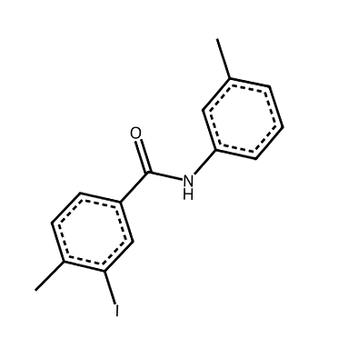 Cc1cccc(NC(=O)c2ccc(C)c(I)c2)c1